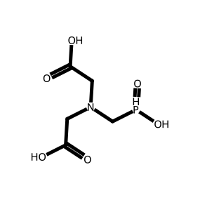 O=C(O)CN(CC(=O)O)C[PH](=O)O